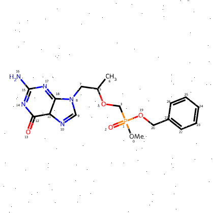 COP(=O)(COC(C)CN1C=NC2C(=O)N=C(N)N=C21)OCc1ccccc1